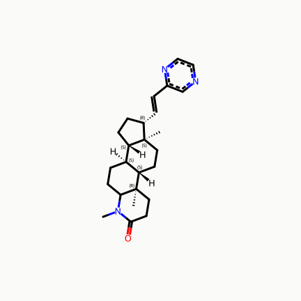 CN1C(=O)CC[C@@]2(C)C1CC[C@H]1[C@@H]3CC[C@H](C=Cc4cnccn4)[C@@]3(C)CC[C@@H]12